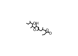 CCC(C)C(O)C(C)C(=O)C(C)C=C(C)CC(C)C1OC(=O)C1CC